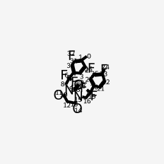 Cc1ccc(C(F)(F)CN2C(=O)CC(=O)N(CC(F)(F)c3ccc(F)c(F)c3)C2=O)cc1F